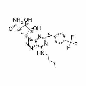 CCCCNc1nc(Sc2ccc(C(F)(F)F)cc2)nc2c1nnn2[C@@H]1C[C@H](C(N)=O)[C@@H](O)[C@H]1O